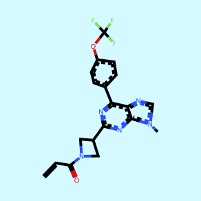 C=CC(=O)N1CC(c2nc(-c3ccc(OC(F)(F)F)cc3)c3ncn(C)c3n2)C1